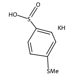 CSc1ccc(S(=O)O)cc1.[KH]